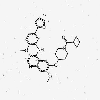 COc1ccc(-c2ccco2)cc1Nc1ncnc2cc(OC)c(OC3CCN(C(=O)C45CC4C5)CC3)cc12